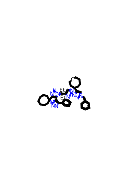 CCC(CC)(c1cn(C2(c3cn(Cc4ccccc4)nn3)CCCCCCC2)nn1)n1cc(C2(n3cc(-c4ccccc4)nn3)CCCCCCC2)nn1